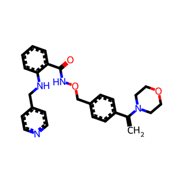 C=C(c1ccc(CONC(=O)c2ccccc2NCc2ccncc2)cc1)N1CCOCC1